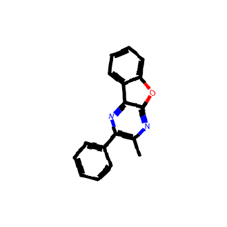 Cc1nc2oc3ccccc3c2nc1-c1ccccc1